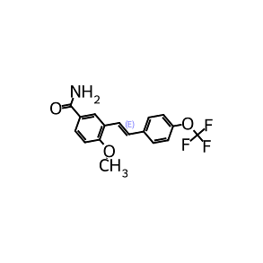 COc1ccc(C(N)=O)cc1/C=C/c1ccc(OC(F)(F)F)cc1